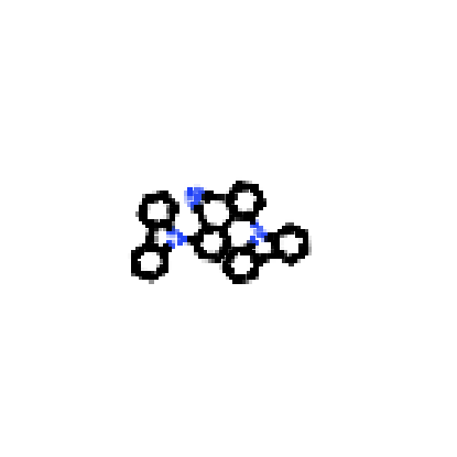 N#Cc1cccc(-n2c3ccccc3c3ccccc32)c1-c1cccc(-n2c3ccccc3c3ccccc32)c1C#N